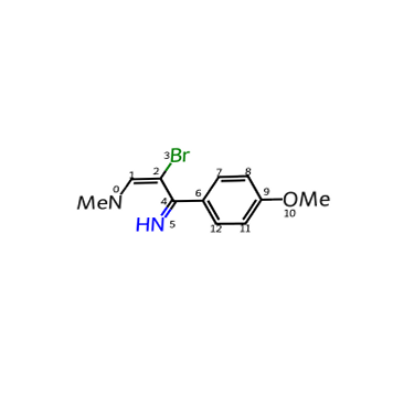 CN/C=C(/Br)C(=N)c1ccc(OC)cc1